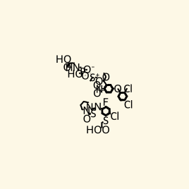 COC(=O)c1cc(Oc2ccc(Cl)cc2Cl)ccc1[N+](=O)[O-].C[S+](C)C.O=C(O)CNCP(=O)([O-])O.O=C(O)CSc1cc(N=c2sc(=O)n3n2CCCC3)c(F)cc1Cl